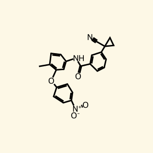 Cc1ccc(NC(=O)c2cccc(C3(C#N)CC3)c2)cc1Oc1ccc([N+](=O)[O-])cc1